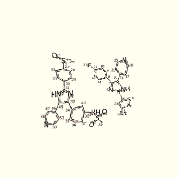 CCc1csc(-c2nc(-c3ccc(F)cc3)c(-c3ccncc3)[nH]2)c1.C[S+]([O-])c1ccc(-c2nc(-c3cccc(NS(C)(=O)=O)c3)c(-c3ccncc3)[nH]2)cc1